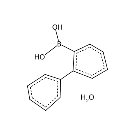 O.OB(O)c1ccccc1-c1ccccc1